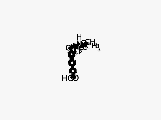 CC(C)(C)OC(=O)NC1CN(C(=O)c2ccc(N3CCC(C4CCN(C(=O)O)CC4)CC3)cc2Cl)C1